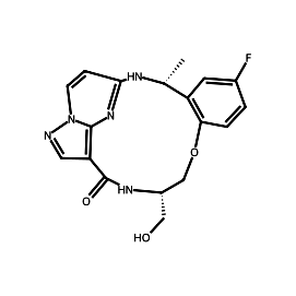 C[C@H]1Nc2ccn3ncc(c3n2)C(=O)N[C@@H](CO)COc2ccc(F)cc21